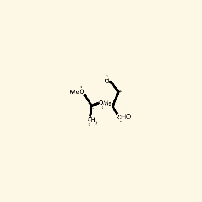 COC(C)OC.O=CCCCl